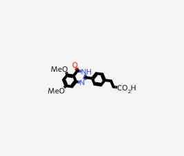 COc1cc(OC)c2c(=O)[nH]c(-c3ccc(CCC(=O)O)cc3)nc2c1